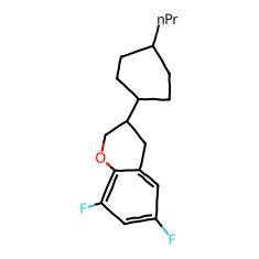 CCCC1CCC(C2COc3c(F)cc(F)cc3C2)CC1